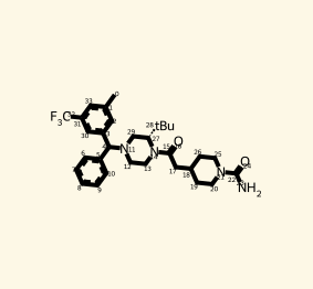 Cc1cc(C(c2ccccc2)N2CCN(C(=O)CC3CCN(C(N)=O)CC3)[C@@H](C(C)(C)C)C2)cc(C(F)(F)F)c1